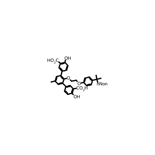 CCCCCCCCCC(C)(C)c1ccc(OCCOc2c(-c3ccc(O)c(C(=O)O)c3)cc(C)cc2-c2ccc(O)c(C(=O)O)c2)cc1